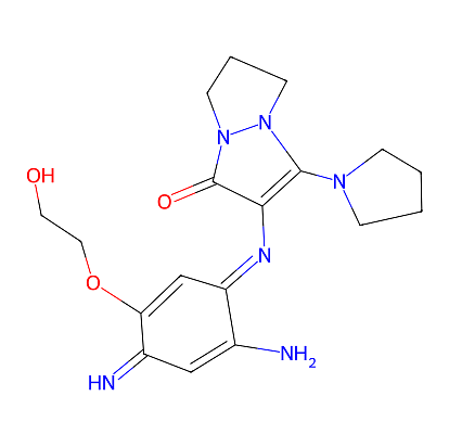 N=C1C=C(N)/C(=N/c2c(N3CCCC3)n3n(c2=O)CCC3)C=C1OCCO